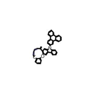 C=C1/C=C\C=C/Cc2ccccc2Oc2cc3c4ccccc4n(-c4ccc5c6ccccc6c6ccccc6c5c4)c3cc21